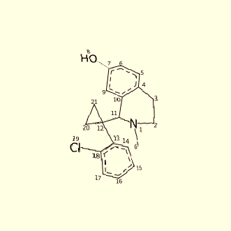 CN1CCc2ccc(O)cc2C1C1(c2ccccc2Cl)CC1